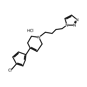 Cl.Clc1ccc(C2=CCN(CCCCn3ccnn3)CC2)cc1